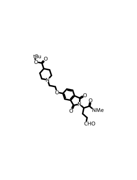 CNC(=O)C(CCC=O)N1C(=O)c2ccc(OCCN3CCC(C(=O)OC(C)(C)C)CC3)cc2C1=O